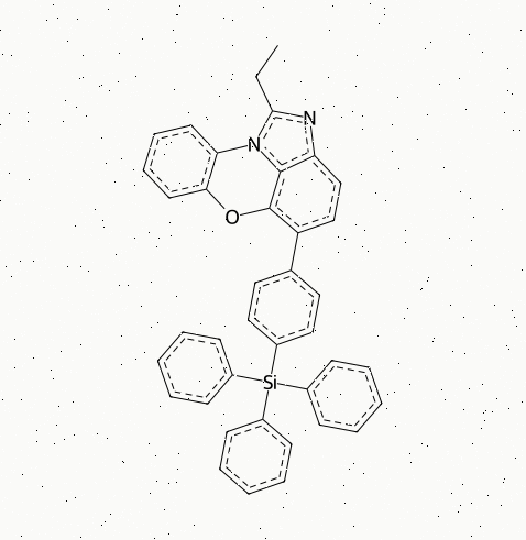 CCc1nc2ccc(-c3ccc([Si](c4ccccc4)(c4ccccc4)c4ccccc4)cc3)c3c2n1-c1ccccc1O3